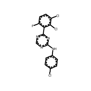 Fc1ccc(Cl)c(Cl)c1-c1ncnc(Nc2ccc(Cl)cc2)n1